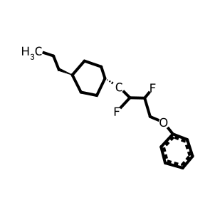 CCC[C@H]1CC[C@H](CC(F)C(F)COc2ccccc2)CC1